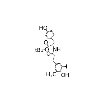 Cc1cc(CCC(=O)NC(Cc2ccc(O)cc2)C(=O)OC(C)(C)C)cc(I)c1O